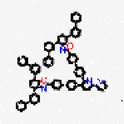 c1ccc(-c2cccc(-c3ccc(-c4cccc(-c5ccccc5)c4)c4oc(-c5ccc(-c6ccc(-c7ccc(-c8ccccn8)nc7-c7ccc(-c8ccc(-c9nc%10c(-c%11cccc(-c%12ccccc%12)c%11)ccc(-c%11cccc(-c%12ccccc%12)c%11)c%10o9)cc8)cc7)cc6)cc5)nc34)c2)cc1